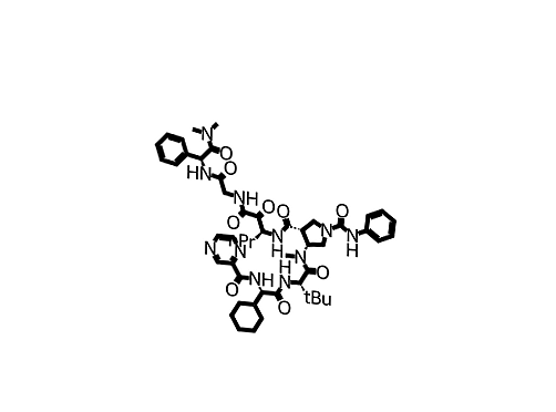 CCC[C@H](NC(=O)[C@@H]1CN(C(=O)Nc2ccccc2)C[C@@H]1N(C)C(=O)[C@@H](NC(=O)[C@@H](NC(=O)c1cnccn1)C1CCCCC1)C(C)(C)C)C(=O)C(=O)NCC(=O)N[C@H](C(=O)N(C)C)c1ccccc1